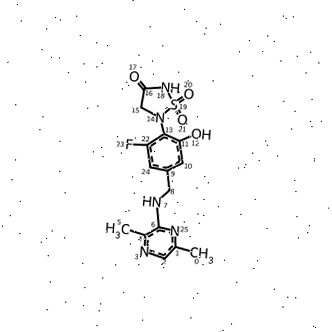 Cc1cnc(C)c(NCc2cc(O)c(N3CC(=O)NS3(=O)=O)c(F)c2)n1